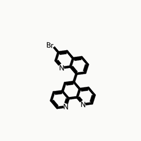 Brc1cnc2c(-c3cc4cccnc4c4ncccc34)cccc2c1